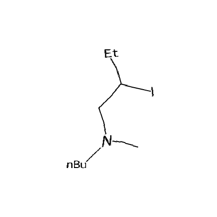 CCCCN(C)CC(I)CC